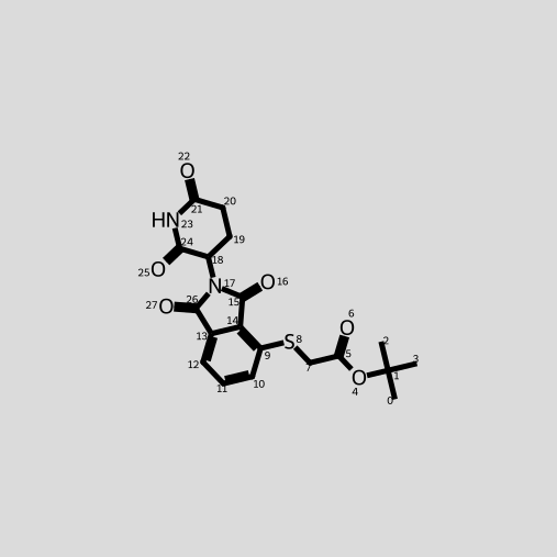 CC(C)(C)OC(=O)CSc1cccc2c1C(=O)N(C1CCC(=O)NC1=O)C2=O